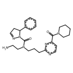 NCCN(CCCc1nccc(C(=O)N2CCCCC2)n1)C(=O)N1N=CCC1c1ccccc1